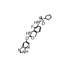 O=C(Nc1c(F)ccc(NS(=O)(=O)C2CCCC2)c1F)Oc1cnc2[nH]cnc2c1